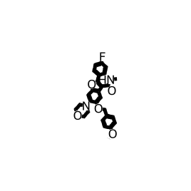 CNC(=O)c1c(-c2ccc(F)cc2)oc2cc(N3CCOCC3)c(OCc3ccc(OC)cc3)cc12